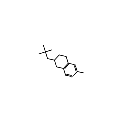 Cc1ncc2c(n1)CCC(CC(C)(C)C)C2